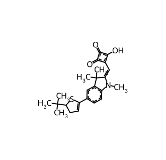 CN1/C(=C/c2c(O)c(=O)c2=O)C(C)(C)c2cc(C3=CCC(C(C)(C)C)S3)ccc21